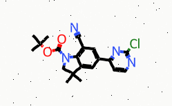 CC(C)(C)OC(=O)N1CC(C)(C)c2cc(-c3ccnc(Cl)n3)cc(C#N)c21